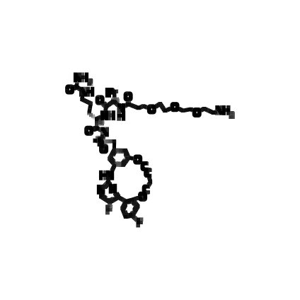 CC(C)[C@H](NC(=O)CCOCCOCCOCCN)C(=O)N[C@@H](CCCNC(N)=O)C(=O)N=[S@@](C)(=O)Cc1cc2cc(c1)OCCCCOc1cc(F)ccc1-c1nc(ncc1F)N2